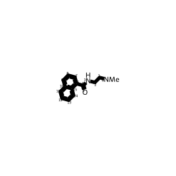 CNCCNC(=O)c1cccc2ccccc12